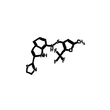 Cc1cc(SNc2cccc3cc(C4=NCCS4)[nH]c23)c(C(F)(F)F)o1